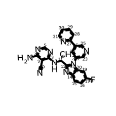 C[C@@H](Nc1ncnc(N)c1C#N)c1nc2ccc(F)cc2n1-c1cncc(-c2ccccn2)c1